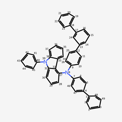 c1ccc(-c2ccc(N(c3ccc(-c4cccc(-c5ccccc5)c4)cc3)c3cccc4c3c3ccccc3n4-c3ccccc3)cc2)cc1